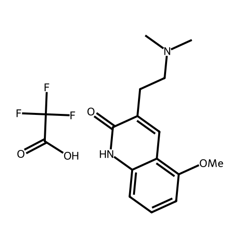 COc1cccc2[nH]c(=O)c(CCN(C)C)cc12.O=C(O)C(F)(F)F